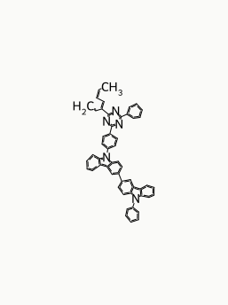 C=C/C(=C\C=C/C)c1nc(-c2ccccc2)nc(-c2ccc(-n3c4ccccc4c4cc(-c5ccc6c(c5)c5ccccc5n6-c5ccccc5)ccc43)cc2)n1